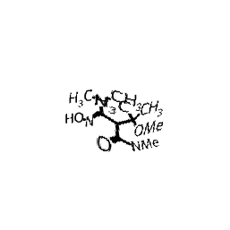 CNC(=O)C(/C(=N/O)N(C)C)C(C)(C)OC